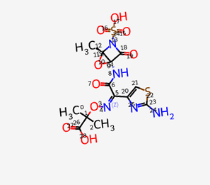 CC(C)(O/N=C(\C(=O)N[C@]12O[C@]1(C)N(S(=O)(=O)O)C2=O)c1csc(N)n1)C(=O)O